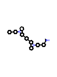 C1=Cc2c(n(-c3ccc(-c4ccccc4)cc3)c3ccc(-c4ccc(-c5ccc6c(c5)c5ccccc5n6-c5ccc(-c6cccc(C7CN7)c6)cc5)cc4)cc23)CC1